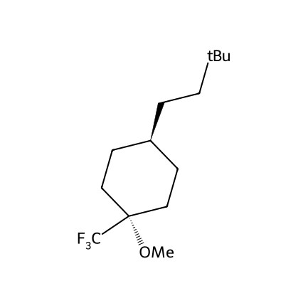 CO[C@]1(C(F)(F)F)CC[C@@H](CCC(C)(C)C)CC1